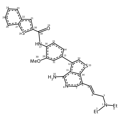 CCN(CC)C/C=C/c1cnc(N)c2c(-c3ccc(NC(=O)c4cc5ccccc5s4)c(OC)c3)csc12